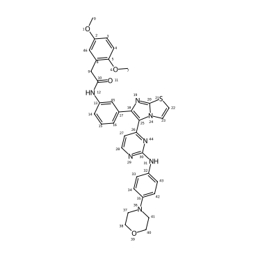 COc1ccc(OC)c(CC(=O)Nc2cccc(-c3nc4sccn4c3-c3ccnc(Nc4ccc(N5CCOCC5)cc4)n3)c2)c1